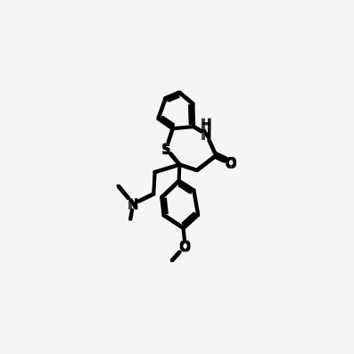 COc1ccc(C2(CCN(C)C)CC(=O)Nc3ccccc3S2)cc1